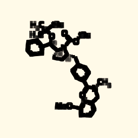 COc1cccc(CN(C)C(=O)c2ccc(C[C@@H]3CC[C@H]([C@H](O[Si](C)(C)C(C)(C)C)c4ccccc4)N3C(=O)OC(C)(C)C)cc2)n1